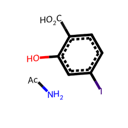 CC(N)=O.O=C(O)c1ccc(I)cc1O